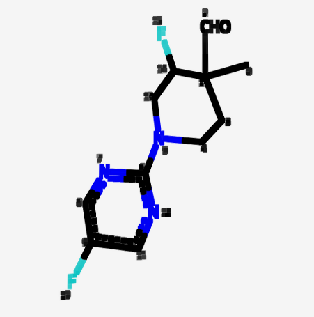 CC1(C=O)CCN(c2ncc(F)cn2)CC1F